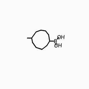 CC1CCCCC(B(O)O)CCCC1